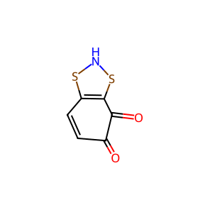 O=c1ccc2s[nH]sc=2c1=O